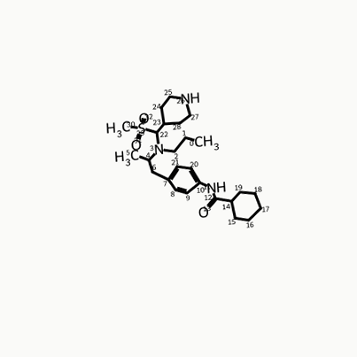 CCCN(C(C)Cc1ccc(NC(=O)C2CCCCC2)cc1)C(C1CCNCC1)S(C)(=O)=O